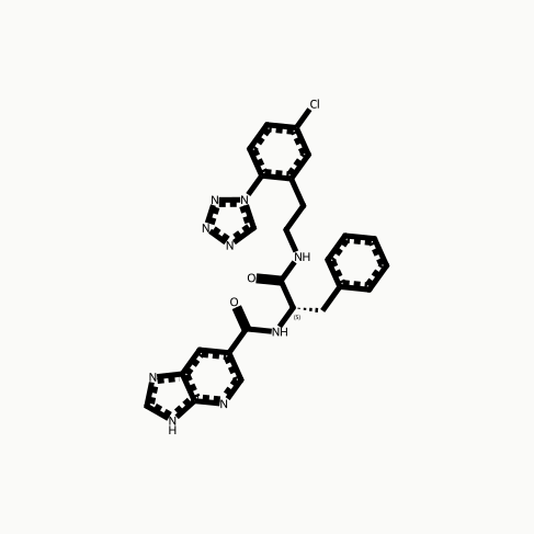 O=C(N[C@@H](Cc1ccccc1)C(=O)NCCc1cc(Cl)ccc1-n1cnnn1)c1cnc2[nH]cnc2c1